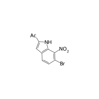 CC(=O)c1cc2ccc(Br)c([N+](=O)[O-])c2[nH]1